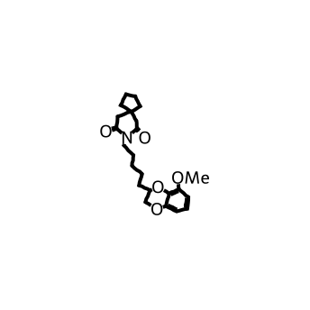 COc1cccc2c1OC(CCCCCN1C(=O)CC3(CCCC3)CC1=O)CO2